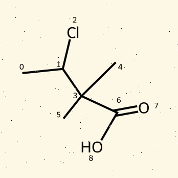 CC(Cl)C(C)(C)C(=O)O